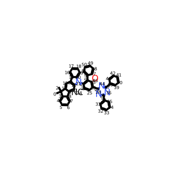 CC1(C)c2ccccc2-c2cc3c(cc21)c1ccccc1n3-c1c(C#N)cc(-c2nc(-c3ccccc3)nc(-c3ccccc3)n2)c2oc3ccccc3c12